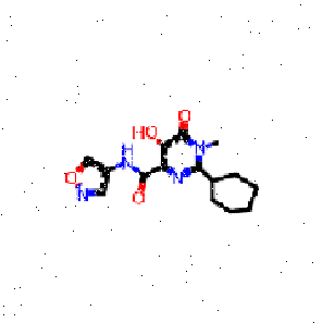 Cn1c(C2CCCCC2)nc(C(=O)Nc2cnoc2)c(O)c1=O